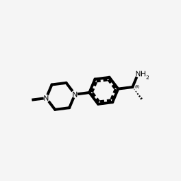 C[C@@H](N)c1ccc(N2CCN(C)CC2)cc1